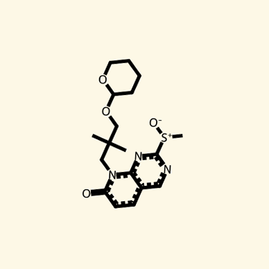 C[S+]([O-])c1ncc2ccc(=O)n(CC(C)(C)COC3CCCCO3)c2n1